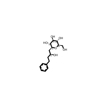 OC[C@H]1O[C@@H](C[C@@H](O)CCc2ccccc2)[C@H](O)[C@@H](O)[C@@H]1O